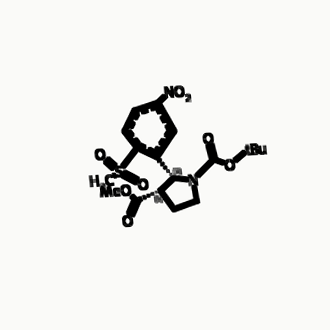 COC(=O)[C@H]1CCN(C(=O)OC(C)(C)C)[C@H]1c1cc([N+](=O)[O-])ccc1S(C)(=O)=O